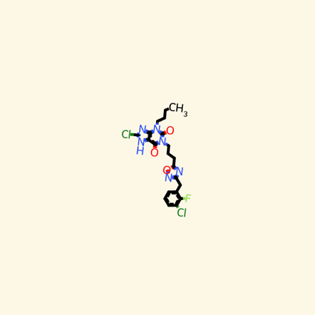 CCCCn1c(=O)n(CCCc2nc(Cc3cccc(Cl)c3F)no2)c(=O)c2[nH]c(Cl)nc21